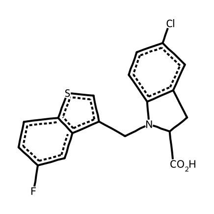 O=C(O)C1Cc2cc(Cl)ccc2N1Cc1csc2ccc(F)cc12